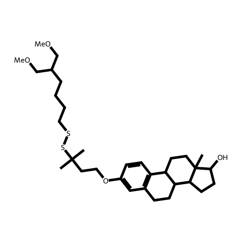 COCC(CCCCSSC(C)(C)CCOc1ccc2c(c1)CCC1C2CCC2(C)C(O)CCC12)COC